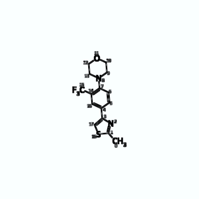 Cc1nc(-c2ccc(N3CCOCC3)c(C(F)(F)F)c2)cs1